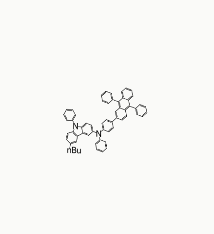 CCCCc1ccc2c(c1)c1cc(N(c3ccccc3)c3ccc(-c4ccc5c(-c6ccccc6)c6ccccc6c(-c6ccccc6)c5c4)cc3)ccc1n2-c1ccccc1